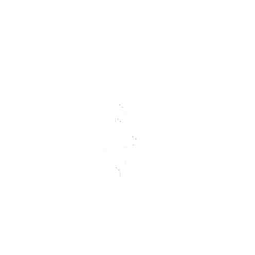 CCCN1C[C@@H](NC(=O)N(CC)CC)CC2c3cccc4[nH]c(CSC)c(c34)C[C@H]21